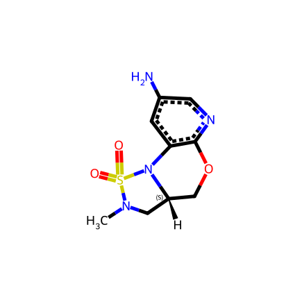 CN1C[C@H]2COc3ncc(N)cc3N2S1(=O)=O